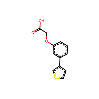 O=C(O)COc1cccc(-c2ccsc2)c1